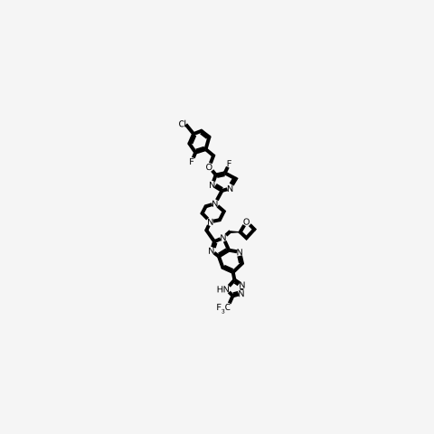 Fc1cc(Cl)ccc1COc1nc(N2CCN(Cc3nc4cc(-c5nnc(C(F)(F)F)[nH]5)cnc4n3C[C@@H]3CCO3)CC2)ncc1F